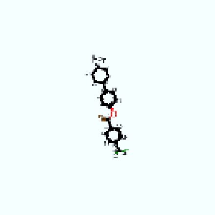 CCCC1CCC(c2ccc(OC(=S)c3ccc(C(F)F)cc3)cc2)CC1